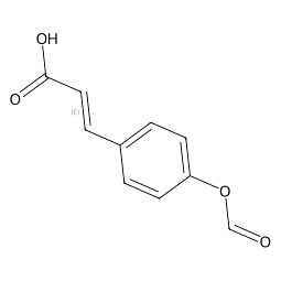 O=COc1ccc(/C=C/C(=O)O)cc1